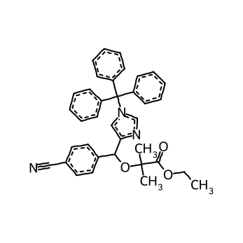 CCOC(=O)C(C)(C)OC(c1ccc(C#N)cc1)c1cn(C(c2ccccc2)(c2ccccc2)c2ccccc2)cn1